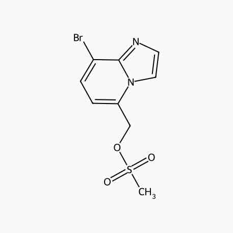 CS(=O)(=O)OCc1ccc(Br)c2nccn12